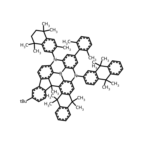 Cc1cc2c(cc1N1c3cc(-c4c(C)cccc4C)cc4c3B3c5c1ccc1c5C(C)(c5ccc(C(C)(C)C)cc5-1)c1c3c(cc3c1C(C)(C)c1ccccc1C3(C)C)N4c1ccc3c(c1)C(C)(C)c1ccccc1C3(C)C)C(C)(C)CCC2(C)C